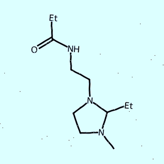 CCC(=O)NCCN1CCN(C)C1CC